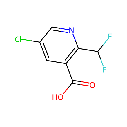 O=C(O)c1cc(Cl)cnc1C(F)F